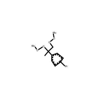 CC(C)c1ccc(C(C)(COOC(C)(C)C)OOC(C)(C)C)cc1